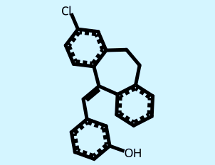 Oc1cccc(/C=C2\c3ccccc3CCc3cc(Cl)ccc32)c1